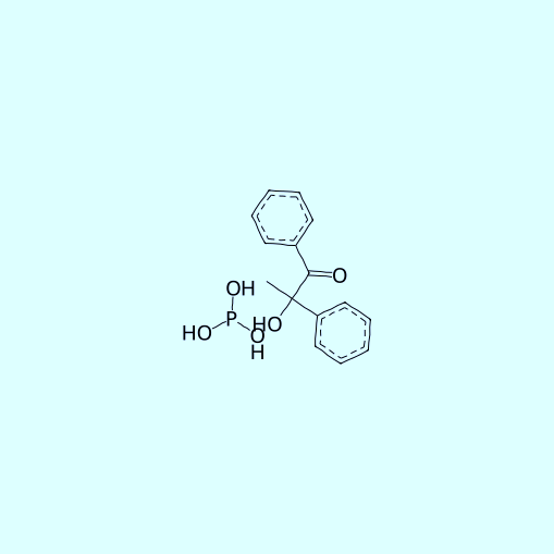 CC(O)(C(=O)c1ccccc1)c1ccccc1.OP(O)O